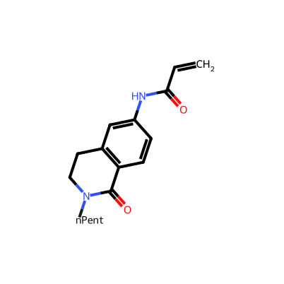 C=CC(=O)Nc1ccc2c(c1)CCN(CCCCC)C2=O